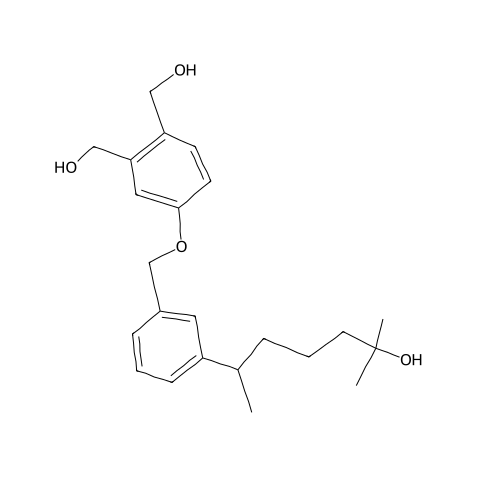 CC(CCCC(C)(C)O)c1cccc(COc2ccc(CO)c(CO)c2)c1